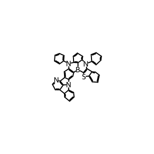 c1ccc(N2c3cc4c5nccc6c7ccccc7n(c4cc3B3c4sc7ccccc7c4N(c4ccccc4)c4cccc2c43)c65)cc1